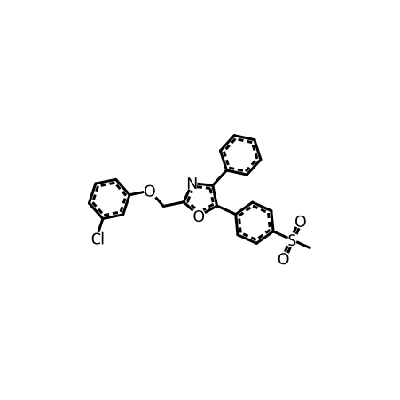 CS(=O)(=O)c1ccc(-c2oc(COc3cccc(Cl)c3)nc2-c2ccccc2)cc1